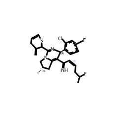 C=C1CC=CSC1C1=N[C@@H](c2ccc(F)cc2Cl)C(C(=N)/C=C\CC(C)F)=C2C[C@H](C)CN12